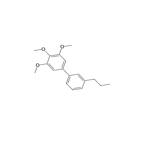 CCCc1cccc(-c2cc(OC)c(OC)c(OC)c2)c1